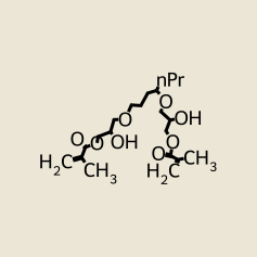 C=C(C)C(=O)OCC(O)COCCCC(CCC)OCC(O)COC(=O)C(=C)C